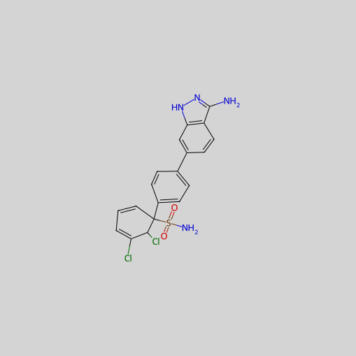 Nc1n[nH]c2cc(-c3ccc(C4(S(N)(=O)=O)C=CC=C(Cl)C4Cl)cc3)ccc12